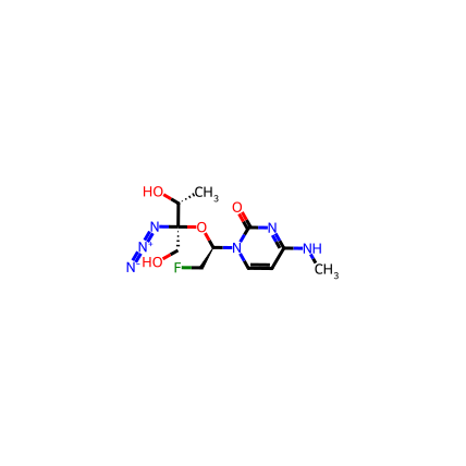 CNc1ccn([C@@H](CF)O[C@@](CO)(N=[N+]=[N-])[C@@H](C)O)c(=O)n1